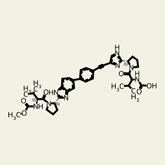 COC(=O)N[C@H](C(=O)N1CCC[C@H]1c1nc2cc(-c3ccc(C#Cc4c[nH]c([C@@H]5CCCN5C(=O)[C@@H](NC(=O)O)C(C)C)n4)cc3)ccc2[nH]1)C(C)C